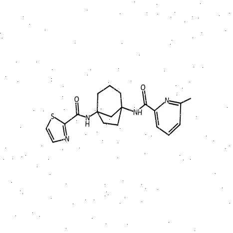 Cc1cccc(C(=O)NC23CCCC(NC(=O)c4nccs4)(CC2)C3)n1